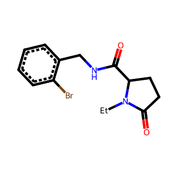 CCN1C(=O)CCC1C(=O)NCc1ccccc1Br